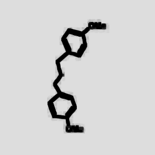 COc1ccc(C[CH]Cc2ccc(OC)cc2)cc1